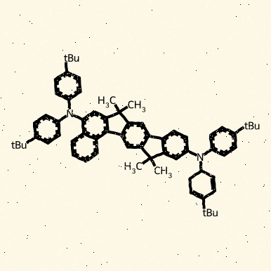 CC(C)(C)C1=CCC(N(c2ccc(C(C)(C)C)cc2)c2ccc3c(c2)C(C)(C)c2cc4c(cc2-3)C(C)(C)c2cc(N(c3ccc(C(C)(C)C)cc3)c3ccc(C(C)(C)C)cc3)c3ccccc3c2-4)C=C1